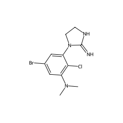 CN(C)c1cc(Br)cc(N2CCNC2=N)c1Cl